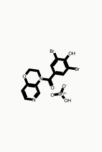 O=C(c1cc(Br)c(O)c(Br)c1)N1CCOc2ccncc21.[O-][Br+2]([O-])O